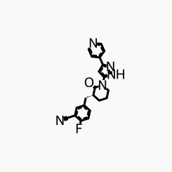 N#Cc1cc(C[C@H]2CCCN(c3cc(-c4ccncc4)n[nH]3)C2=O)ccc1F